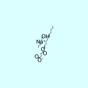 CCCCCCCCCCC=COC(=O)CCC(=O)[O-].CCCCCCO.[Na+]